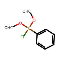 O=COS(Cl)(OC=O)c1ccccc1